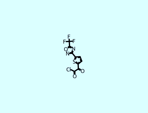 O=C(Cl)C(=O)c1ccc(-c2noc(C(F)(F)F)n2)s1